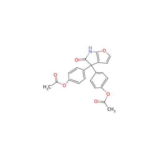 CC(=O)Oc1ccc(C2(c3ccc(OC(C)=O)cc3)C(=O)Nc3occc32)cc1